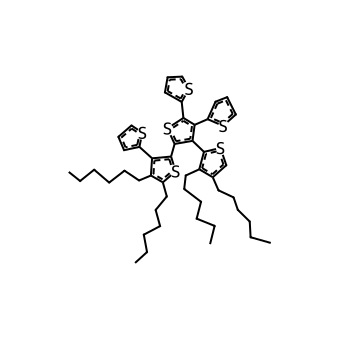 CCCCCCc1csc(-c2c(-c3sc(CCCCCC)c(CCCCCC)c3-c3cccs3)sc(-c3cccs3)c2-c2cccs2)c1CCCCCC